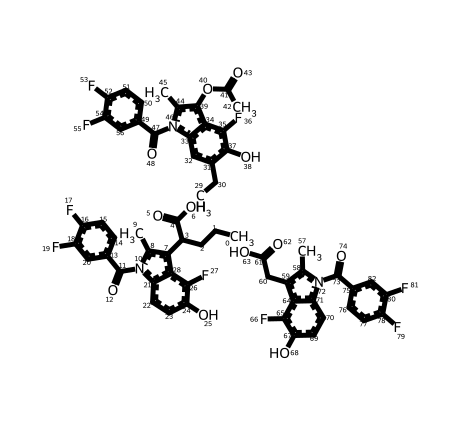 CCCC(C(=O)O)c1c(C)n(C(=O)c2ccc(F)c(F)c2)c2ccc(O)c(F)c12.CCc1cc2c(c(F)c1O)c(OC(C)=O)c(C)n2C(=O)c1ccc(F)c(F)c1.Cc1c(CC(=O)O)c2c(F)c(O)ccc2n1C(=O)c1ccc(F)c(F)c1